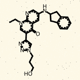 CCn1cc(-c2cn(CCCO)nn2)c(=O)c2cc(NC3Cc4ccccc4C3)cnc21